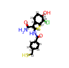 NC(=O)c1c(NC(=O)c2ccc(CS)cc2)sc2c(Cl)c(O)ccc12